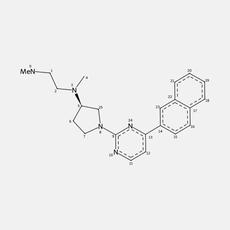 CNCCN(C)[C@@H]1CCN(c2nccc(-c3ccc4ccccc4c3)n2)C1